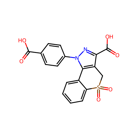 O=C(O)c1ccc(-n2nc(C(=O)O)c3c2-c2ccccc2S(=O)(=O)C3)cc1